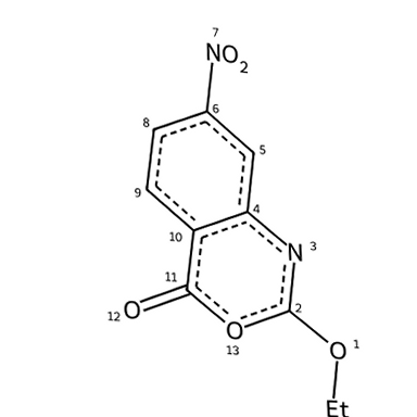 CCOc1nc2cc([N+](=O)[O-])ccc2c(=O)o1